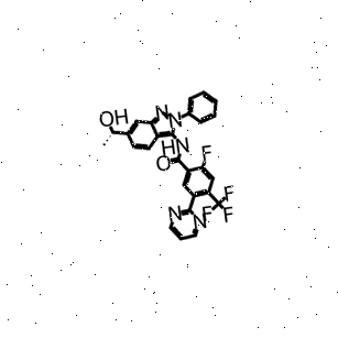 C[C@H](O)c1ccc2c(NC(=O)c3cc(-c4ncccn4)c(C(F)(F)F)cc3F)n(-c3ccccc3)nc2c1